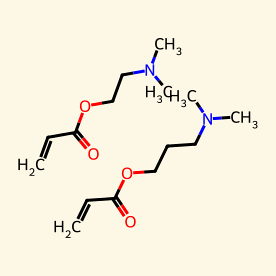 C=CC(=O)OCCCN(C)C.C=CC(=O)OCCN(C)C